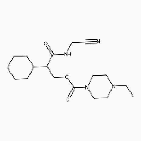 CCN1CCN(C(=O)OCC(C(=O)NCC#N)C2CCCCC2)CC1